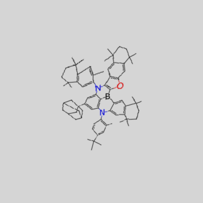 Cc1cc(C(C)(C)C)ccc1N1c2cc3c(cc2B2c4oc5cc6c(cc5c4N(c4cc5c(cc4C)C(C)(C)CCC5(C)C)c4cc(C57CC8CC(CC(C8)C5)C7)cc1c42)C(C)(C)CCC6(C)C)C(C)(C)CCC3(C)C